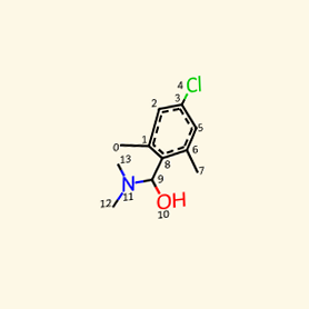 Cc1cc(Cl)cc(C)c1C(O)N(C)C